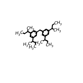 CCC(C)c1[c]c(Cc2[c]c(C(C)CC)cc(C(C)CC)c2)cc(C(C)CC)c1